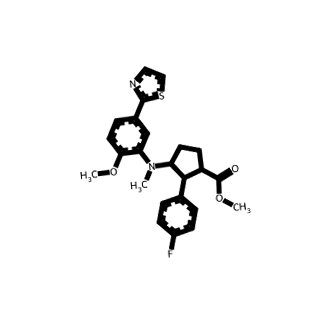 COC(=O)C1CCC(N(C)c2cc(-c3nccs3)ccc2OC)C1c1ccc(F)cc1